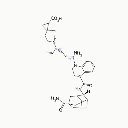 C=C/C(=C\C=C(/N)N1CCN(C(=O)N[C@H]2C3CC4CC2C[C@@](C(N)=O)(C4)C3)c2ccccc21)N1CCC2(CC1)CC2C(=O)O